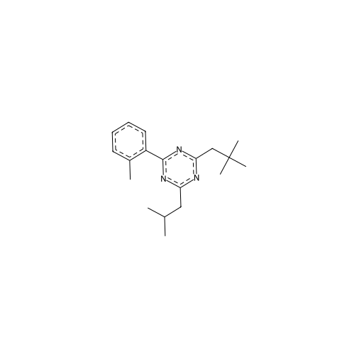 Cc1ccccc1-c1nc(CC(C)C)nc(CC(C)(C)C)n1